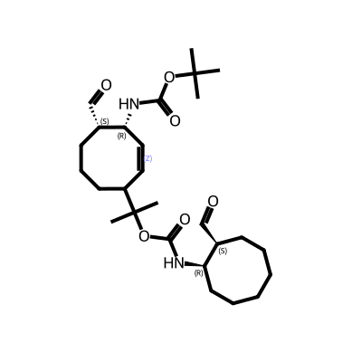 CC(C)(C)OC(=O)N[C@@H]1/C=C\C(C(C)(C)OC(=O)N[C@@H]2CCCCCC[C@@H]2C=O)CCC[C@@H]1C=O